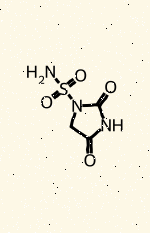 NS(=O)(=O)N1CC(=O)NC1=O